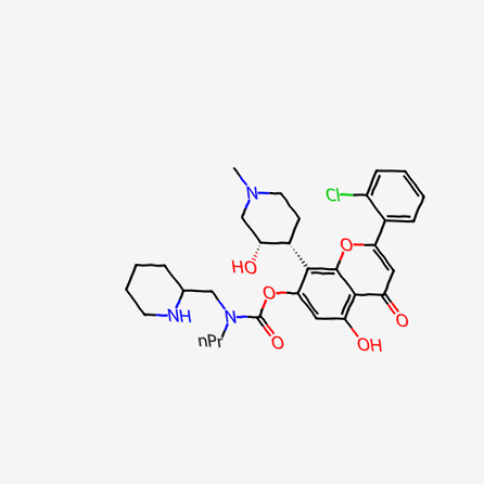 CCCN(CC1CCCCN1)C(=O)Oc1cc(O)c2c(=O)cc(-c3ccccc3Cl)oc2c1[C@H]1CCN(C)C[C@H]1O